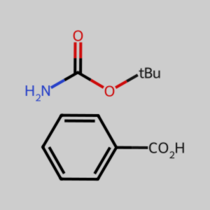 CC(C)(C)OC(N)=O.O=C(O)c1ccccc1